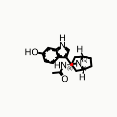 CC(=O)N[C@H]1C[C@H]2CC[C@@H](C1)N2Cc1c[nH]c2cc(O)ccc12